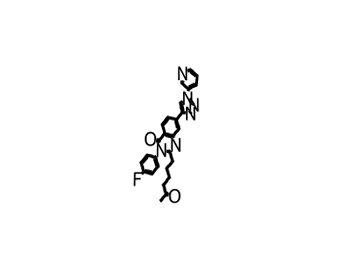 CC(=O)CCCCc1nc2cc(-c3cn(-c4cccnc4)nn3)ccc2c(=O)n1-c1ccc(F)cc1